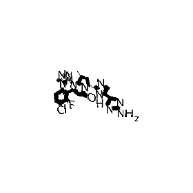 C[C@@H]1C[C@H](c2ncc(-c3cnc(N)nc3)[nH]2)n2c1nc(-c1c(-n3cnnn3)ccc(Cl)c1F)cc2=O